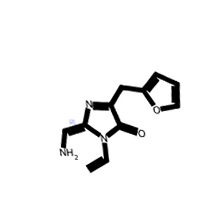 C=CN1C(=O)C(Cc2ccco2)=N/C1=C/N